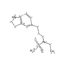 CCN(CCCc1ccc2c(c1)CCN2)S(C)(=O)=O